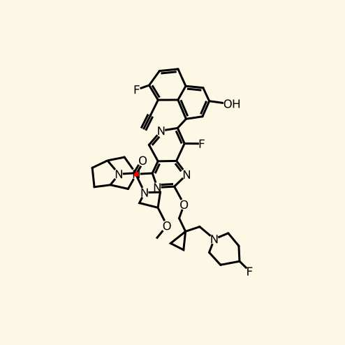 C#Cc1c(F)ccc2cc(O)cc(-c3ncc4c(N5CC6CCC(C5)N6C(=O)N5CC(OC)C5)nc(OCC5(CN6CCC(F)CC6)CC5)nc4c3F)c12